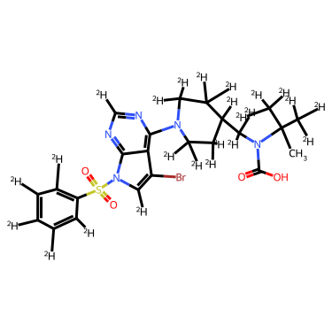 [2H]c1nc(N2C([2H])([2H])C([2H])([2H])C([2H])(C([2H])([2H])N(C(=O)O)C(C)(C([2H])([2H])[2H])C([2H])([2H])[2H])C([2H])([2H])C2([2H])[2H])c2c(Br)c([2H])n(S(=O)(=O)c3c([2H])c([2H])c([2H])c([2H])c3[2H])c2n1